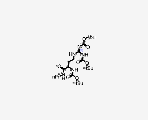 CCCNC(=O)C(CCN/C(=N/C(=O)OC(C)(C)C)NC(=O)OC(C)(C)C)NC(=O)OC(C)(C)C